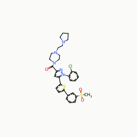 CS(=O)(=O)c1cccc(-c2ccc(-c3cc(C(=O)N4CCN(CCN5CCCC5)CC4)nn3-c3ccccc3Cl)s2)c1